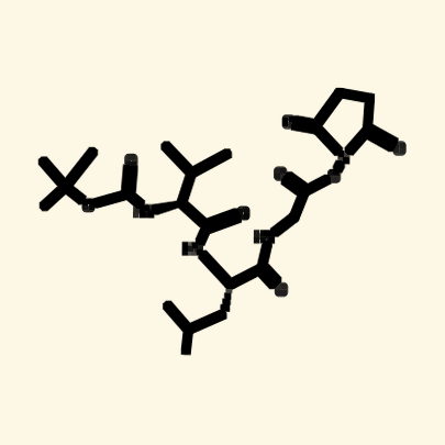 CC(C)C[C@H](NC(=O)[C@@H](NC(=O)OC(C)(C)C)C(C)C)C(=O)NCC(=O)ON1C(=O)CCC1=O